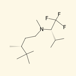 CC(C)[C@H](N(C)CC[C@@H](C)C(C)(C)C)C(F)(F)F